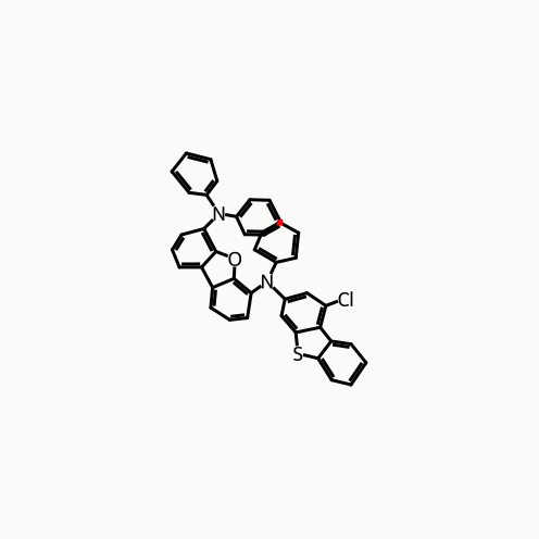 Clc1cc(N(c2ccccc2)c2cccc3c2oc2c(N(c4ccccc4)c4ccccc4)cccc23)cc2sc3ccccc3c12